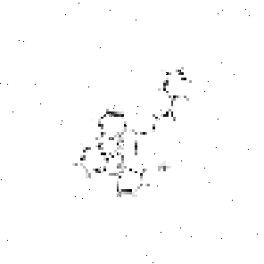 [Br-].c1ccc(OCCCC[P+](c2ccccc2)(c2ccccc2)c2ccccc2)cc1